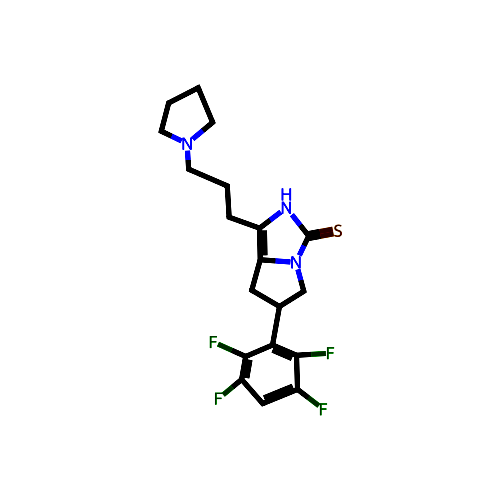 Fc1cc(F)c(F)c(C2Cc3c(CCCN4CCCC4)[nH]c(=S)n3C2)c1F